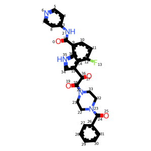 O=C(Nc1ccncc1)c1ccc(F)c2c(C(=O)C(=O)N3CCN(C(=O)c4ccccc4)CC3)c[nH]c12